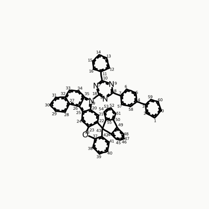 c1ccc(-c2ccc(-c3nc(-c4ccccc4)nc(-n4c5cc6c(cc5c5c7ccccc7ccc54)Oc4ccccc4C64c5ccccc5-c5ccccc54)n3)cc2)cc1